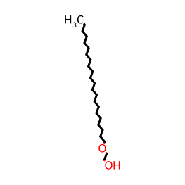 CCCCCCCCCCCCCCCCCCCCCCOCCO